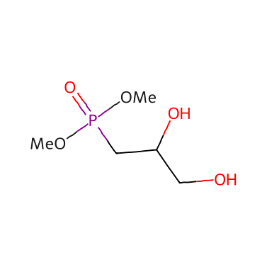 COP(=O)(CC(O)CO)OC